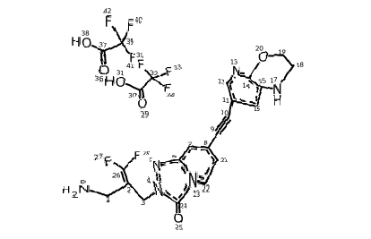 NCC(Cn1nc2cc(C#Cc3cnc4c(c3)NCCO4)ccn2c1=O)=C(F)F.O=C(O)C(F)(F)F.O=C(O)C(F)(F)F